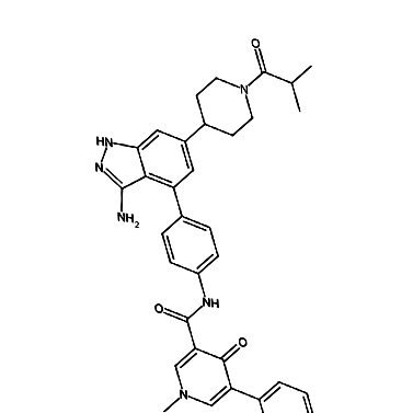 CC(C)C(=O)N1CCC(c2cc(-c3ccc(NC(=O)c4cn(C)cc(-c5ccc(F)cc5)c4=O)cc3)c3c(N)n[nH]c3c2)CC1